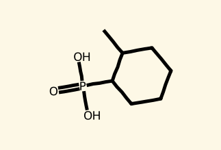 CC1CCCCC1P(=O)(O)O